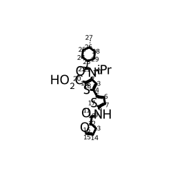 CC(C)N(c1cc(-c2ccc(NC(=O)C3CC=CO3)s2)sc1C(=O)O)C(=O)[C@H]1CC[C@H](C)CC1